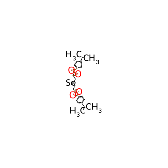 CC(C)c1ccc(S(=O)(=O)CC[Se]CCS(=O)(=O)c2ccc(C(C)C)cc2)cc1